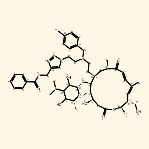 CC[C@H]1OC(=O)C[C@@H](O)[C@H](C)[C@@H](O[C@@H]2O[C@H](C)C(O)C(N(C)C)C2O)[C@@H](CCN(CCn2cc(COC(=O)c3ccccc3)nn2)Cc2ccc(I)cc2)C[C@@H](C)C(=O)/C=C/C(C)=C/[C@@H]1CO